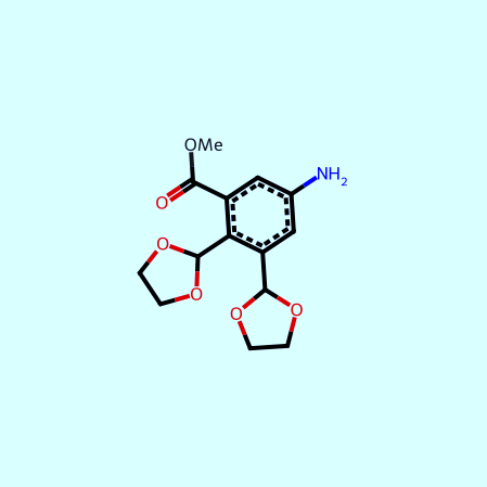 COC(=O)c1cc(N)cc(C2OCCO2)c1C1OCCO1